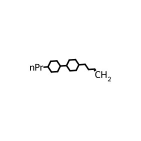 C=CCCC1CCC(C2CCC(CCC)CC2)CC1